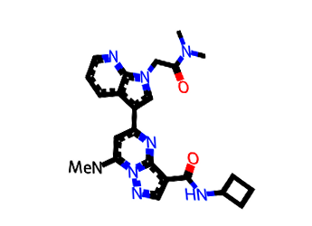 CNc1cc(-c2cn(CC(=O)N(C)C)c3ncccc23)nc2c(C(=O)NC3CCC3)cnn12